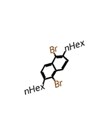 CCCCCCc1ccc2c(Br)c(CCCCCC)ccc2c1Br